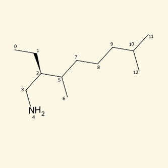 CC[C@H](CN)C(C)CCCC(C)C